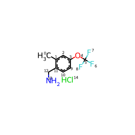 Cc1cc(OC(F)(F)F)ccc1CN.Cl